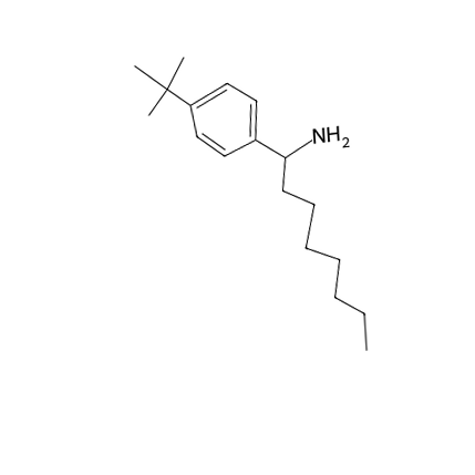 CCCCCCCC(N)c1ccc(C(C)(C)C)cc1